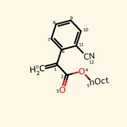 C=C(C(=O)OCCCCCCCC)c1ccccc1C#N